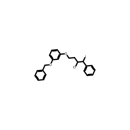 ClC(CCOc1cccc(OCc2ccccc2)c1)C(I)c1ccccc1